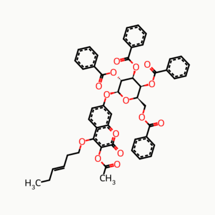 CC/C=C/CCOc1c(OC(C)=O)c(=O)oc2cc(O[C@@H]3O[C@H](COC(=O)c4ccccc4)[C@H](OC(=O)c4ccccc4)[C@H](OC(=O)c4ccccc4)[C@H]3OC(=O)c3ccccc3)ccc12